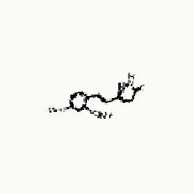 COc1ccc(C=Cc2ccc(=O)[nH]n2)c(SC)c1